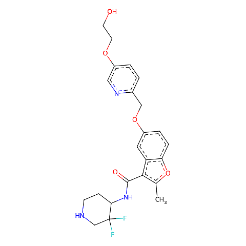 Cc1oc2ccc(OCc3ccc(OCCO)cn3)cc2c1C(=O)NC1CCNCC1(F)F